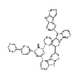 c1ccc(-c2ccc(C3=NC(c4cncc5sc6ccc(-c7ccc8c(c7)c7ccccc7n8-c7ccc8oc9ccccc9c8c7)cc6c45)=NC(c4ccccc4)N3)cc2)cc1